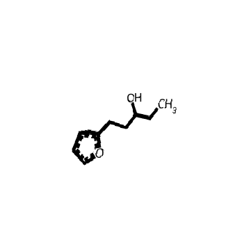 CCC(O)CCc1ccco1